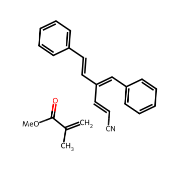 C=C(C)C(=O)OC.N#CC=CC(C=Cc1ccccc1)=Cc1ccccc1